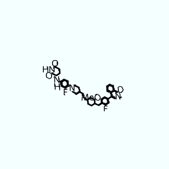 COc1cc(-c2cn(C)c(=O)c3ccccc23)cc(F)c1CC1CCC(CCC2CCN(c3ccc(NC4CCC(=O)NC4=O)cc3F)CC2)CC1